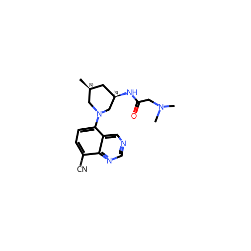 C[C@H]1C[C@@H](NC(=O)CN(C)C)CN(c2ccc(C#N)c3ncncc23)C1